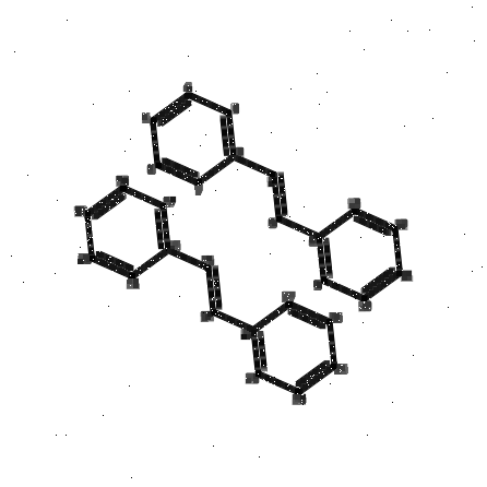 C(=Cc1ccccc1)c1ccccc1.C(=Cc1ccccc1)c1ccccc1